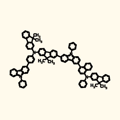 CC1(C)c2ccccc2-c2ccc(N(c3ccc(-c4ccc5c(c4)c4ccccc4n5-c4ccccc4)cc3)c3ccc4c(c3)C(C)(C)c3cc(-c5ccc6c7cc(-c8ccc(N(c9ccccc9)c9ccc%10c(c9)C(C)(C)c9ccccc9-%10)c9ccccc89)ccc7n(-c7ccccc7)c6c5)ccc3-4)cc21